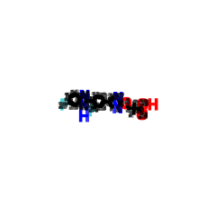 CC(C)(COc1ncc(-c2ccc(-c3nc4ccc(F)cc4[nH]3)c(F)c2)cn1)C(=O)O